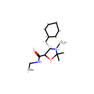 COCNC(=O)C1OC(C)(C)N(C(=O)O)[C@H]1CC1CCCCC1